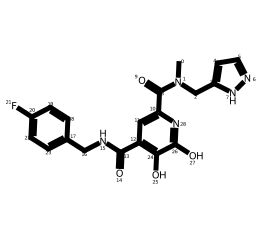 CN(Cc1ccn[nH]1)C(=O)c1cc(C(=O)NCc2ccc(F)cc2)c(O)c(O)n1